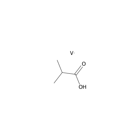 CC(C)C(=O)O.[V]